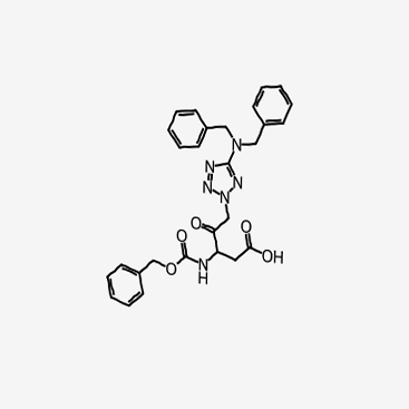 O=C(O)CC(NC(=O)OCc1ccccc1)C(=O)Cn1nnc(N(Cc2ccccc2)Cc2ccccc2)n1